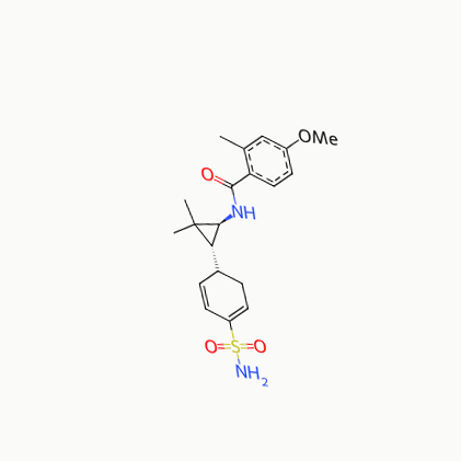 COc1ccc(C(=O)N[C@H]2[C@H](C3C=CC(S(N)(=O)=O)=CC3)C2(C)C)c(C)c1